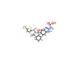 CC(c1ccc(Cl)s1)N1C(=O)c2ccccc2C1(O)c1ccc2[nH]c(N(C)C(=O)O)nc2c1